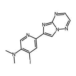 CN(C)c1cnc(-c2cn3nccnc3n2)cc1I